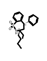 CCCC[C@]1(CC)C[C@@H](c2ccccc2)c2ccccc2S(=O)(=O)N1